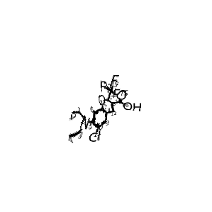 CCN(CC)c1cc2c(cc1Cl)C=C(C(=O)O)C(C(F)(F)F)O2